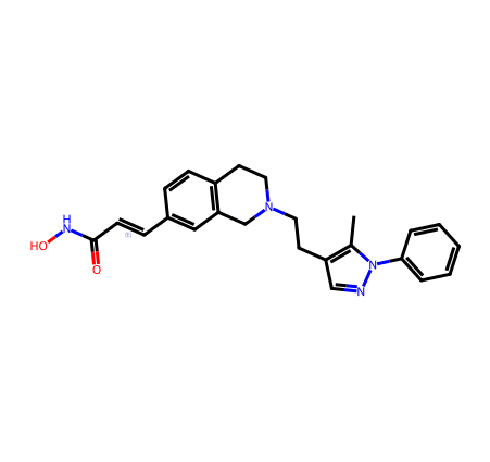 Cc1c(CCN2CCc3ccc(/C=C/C(=O)NO)cc3C2)cnn1-c1ccccc1